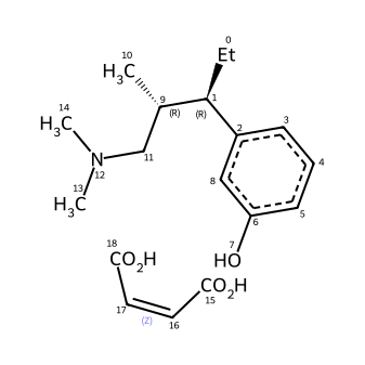 CC[C@@H](c1cccc(O)c1)[C@@H](C)CN(C)C.O=C(O)/C=C\C(=O)O